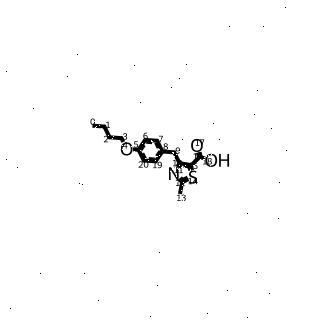 CCCCOc1ccc(Cc2nc(C)sc2C(=O)O)cc1